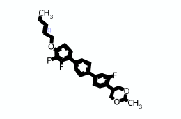 CC/C=C/COc1ccc(-c2ccc(-c3ccc(C4COC(C)OC4)c(F)c3)cc2)c(F)c1F